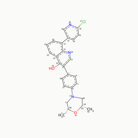 C[C@@H]1CN(c2ccc(-c3cnc4c(-c5ccc(Cl)nc5)cccc4c3O)cc2)C[C@H](C)O1